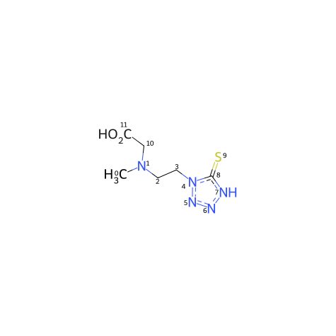 CN(CCn1nn[nH]c1=S)CC(=O)O